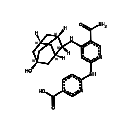 NC(=O)c1cnc(Nc2ccc(C(=O)O)cn2)cc1N[C@@H]1[C@@H]2C[C@@H]3C[C@H]1C[C@@](O)(C3)C2